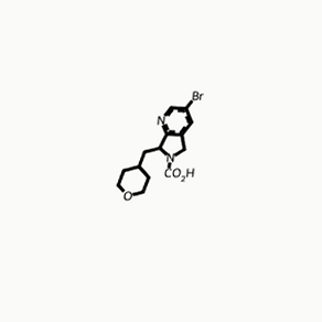 O=C(O)N1Cc2cc(Br)cnc2C1CC1CCOCC1